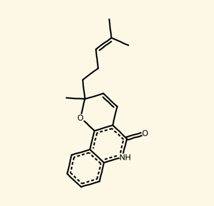 CC(C)=CCCC1(C)C=Cc2c(c3ccccc3[nH]c2=O)O1